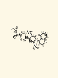 N#Cc1cc(-c2cccc3cnccc23)c(C2CC2)nc1N1CCN(C(=O)C2CC2)CC1